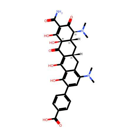 CN(C)c1cc(-c2ccc(C(=O)O)cc2)c(O)c2c1C[C@H]1C[C@H]3[C@H](N(C)C)C(=O)C(C(N)=O)=C(O)[C@@]3(O)C(=O)C1=C2O